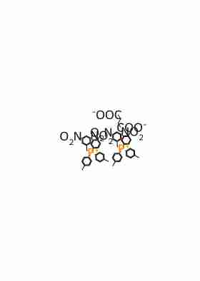 Cc1ccc([P+](Cc2cc([N+](=O)[O-])cc([N+](=O)[O-])c2)(c2ccc(C)cc2)c2ccc(C)cc2)cc1.Cc1ccc([P+](Cc2cc([N+](=O)[O-])cc([N+](=O)[O-])c2)(c2ccc(C)cc2)c2ccc(C)cc2)cc1.O=C([O-])CCC(=O)[O-]